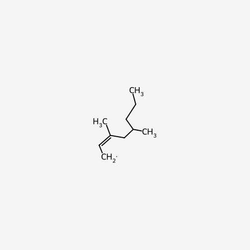 [CH2]C=C(C)CC(C)CCC